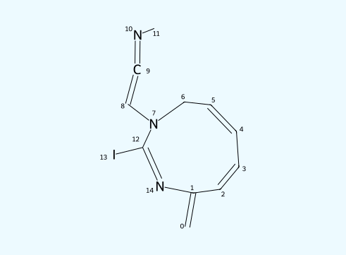 C=C1/C=C\C=C/CN(C=C=NC)/C(I)=N\1